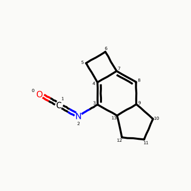 O=C=NC1=C2CCC2=CC2CCCC12